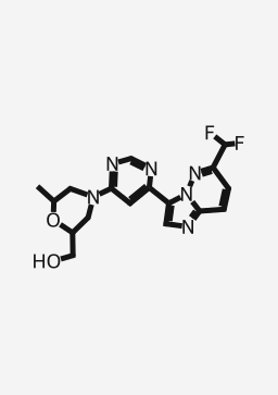 CC1CN(c2cc(-c3cnc4ccc(C(F)F)nn34)ncn2)CC(CO)O1